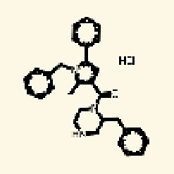 Cc1c(C(=O)N2CCNCC2Cc2ccccc2)cc(-c2ccccc2)n1Cc1ccccc1.Cl